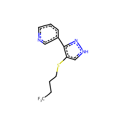 FC(F)(F)CCCSc1c[nH]nc1-c1cccnc1